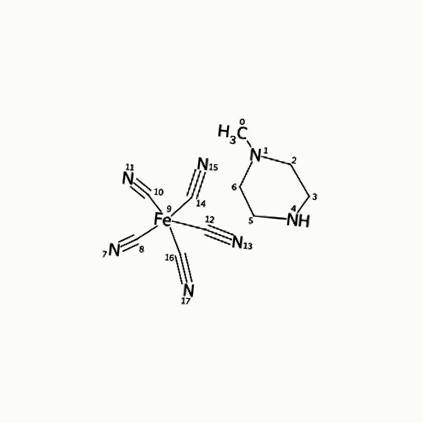 CN1CCNCC1.N#[C][Fe]([C]#N)([C]#N)([C]#N)[C]#N